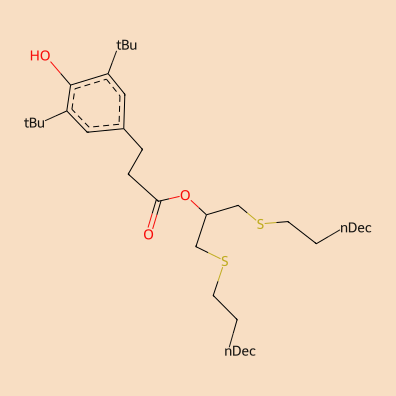 CCCCCCCCCCCCSCC(CSCCCCCCCCCCCC)OC(=O)CCc1cc(C(C)(C)C)c(O)c(C(C)(C)C)c1